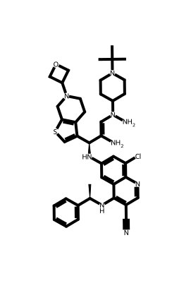 C[C@@H](Nc1c(C#N)cnc2c(Cl)cc(N[C@H](/C(N)=C/N(N)C3CCN(C(C)(C)C)CC3)c3csc4c3CCN(C3COC3)C4)cc12)c1ccccc1